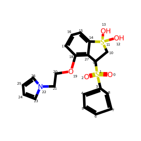 O=S(=O)(c1ccccc1)C1CS(O)(O)c2cccc(OCCn3cccc3)c21